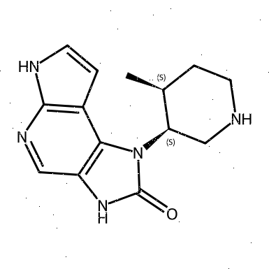 C[C@H]1CCNC[C@H]1n1c(=O)[nH]c2cnc3[nH]ccc3c21